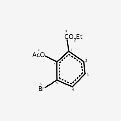 CCOC(=O)c1cccc(Br)c1OC(C)=O